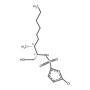 CCCCCC[C@@H](C)[C@@H](CO)NS(=O)(=O)c1ccc(Cl)s1